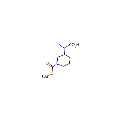 CN(C(=O)O)C1CCCN(C(=O)OC(C)(C)C)C1